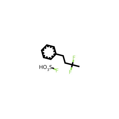 CC(F)(F)CCc1ccccc1.O=S(=O)(O)F